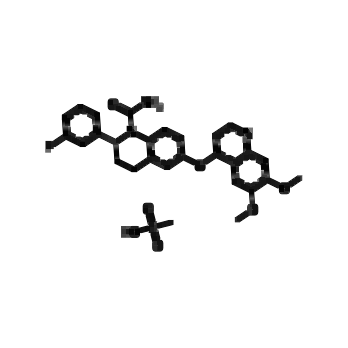 COc1cc2nccc(Oc3ccc4c(c3)CCC(c3cccc(F)c3)N4C(N)=O)c2cc1OC.CS(=O)(=O)O